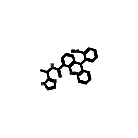 COc1ccccc1[C](c1ccccc1)c1cccc(C(=O)NC(C)c2ncc[nH]2)c1OC